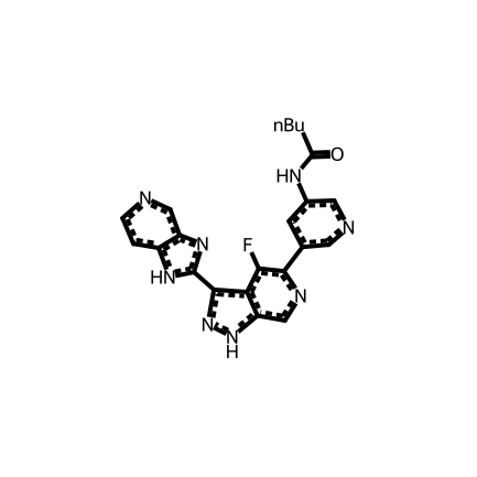 CCCCC(=O)Nc1cncc(-c2ncc3[nH]nc(-c4nc5cnccc5[nH]4)c3c2F)c1